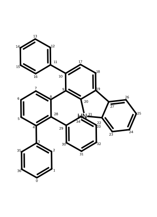 c1ccc(-c2cccc(-c3c(-c4ccccc4)ccc4c3[nH]c3ccccc34)c2-c2ccccc2)cc1